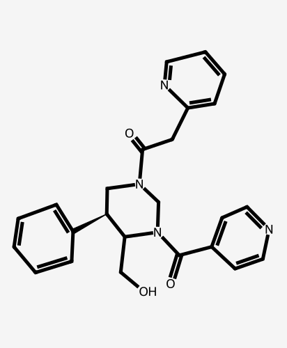 O=C(Cc1ccccn1)N1C[C@H](c2ccccc2)C(CO)N(C(=O)c2ccncc2)C1